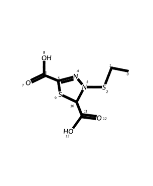 CCSN1N=C(C(=O)O)SC1C(=O)O